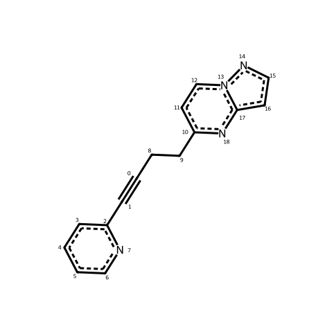 C(#Cc1ccccn1)CCc1ccn2nccc2n1